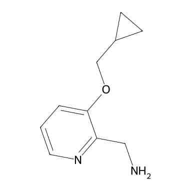 NCc1ncccc1OCC1CC1